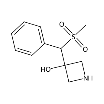 CS(=O)(=O)C(c1ccccc1)C1(O)CNC1